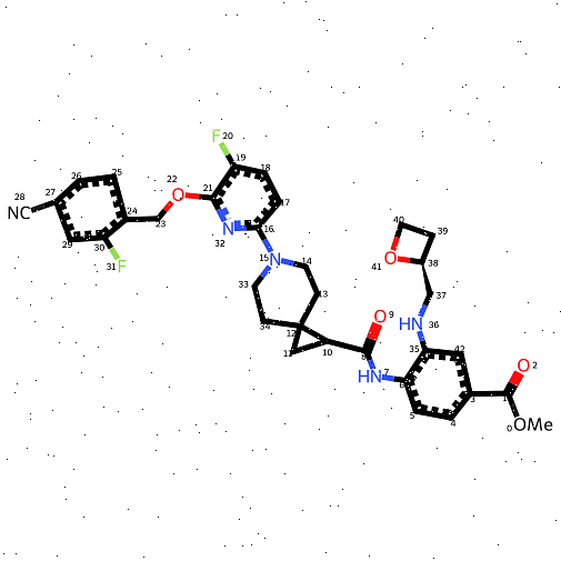 COC(=O)c1ccc(NC(=O)C2CC23CCN(c2ccc(F)c(OCc4ccc(C#N)cc4F)n2)CC3)c(NC[C@@H]2CCO2)c1